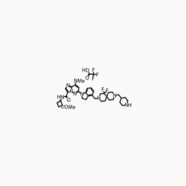 CNc1cc(N2CCc3c(CN4CCC5(CCN(CC6CCNCC6)CC5)C(F)(F)C4)cccc32)nn2c(C(=O)N[C@@H]3CC[C@H]3OC)cnc12.O=C(O)C(F)(F)F